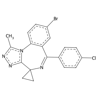 Cc1nnc2n1-c1ccc(Br)cc1C(c1ccc(Cl)cc1)=NC21CC1